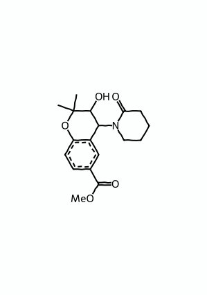 COC(=O)c1ccc2c(c1)C(N1CCCCC1=O)C(O)C(C)(C)O2